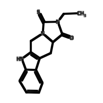 CCN1C(=O)C2Cc3c([nH]c4ccccc34)CN2C1=S